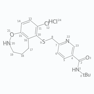 CC(C)(C)NC(=O)c1ccc(CSc2c(Cl)ccc3c2CCCNO3)nc1.Cl